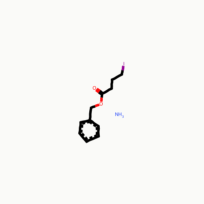 N.O=C(CCCI)OCc1ccccc1